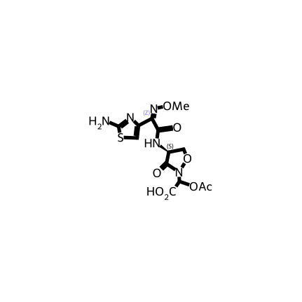 CO/N=C(\C(=O)N[C@H]1CON(C(OC(C)=O)C(=O)O)C1=O)c1csc(N)n1